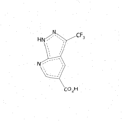 O=C(O)c1cnc2[nH]nc(C(F)(F)F)c2c1